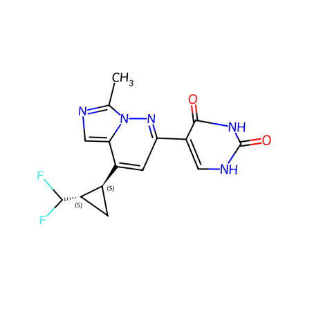 Cc1ncc2c([C@H]3C[C@@H]3C(F)F)cc(-c3c[nH]c(=O)[nH]c3=O)nn12